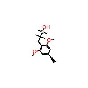 C#Cc1cc(OC)c(CC(C)(C)[Si](C)(C)O)c(OC)c1